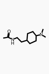 CC(=O)NCCC1CCC(N(C)C)CC1